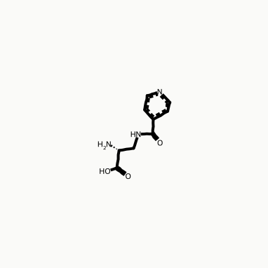 N[C@H](CNC(=O)c1ccncc1)C(=O)O